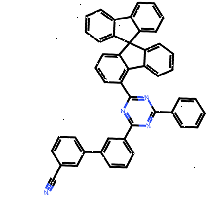 N#Cc1cccc(-c2cccc(-c3nc(-c4ccccc4)nc(-c4cccc5c4-c4ccccc4C54c5ccccc5-c5ccccc54)n3)c2)c1